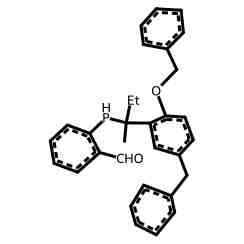 CCC(C)(Pc1ccccc1C=O)c1cc(Cc2ccccc2)ccc1OCc1ccccc1